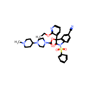 CCOc1ncccc1C1(OC(=O)N2CCN(C3CCN(C)CC3)CC2)C(=O)N(S(=O)(=O)c2ccccc2)c2ccc(C#N)cc21